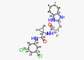 C[C@@H](Cc1nc2ccccc2[nH]1)C(=O)NC1(C(=O)Nc2cc(Cl)cc(Cl)c2)CC1